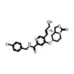 O=C(NCc1ccc(Cl)cc1)c1cc(O[C@H]2CCN3C(=O)OC[C@@H]3C2)c(/C=C/CO)cn1